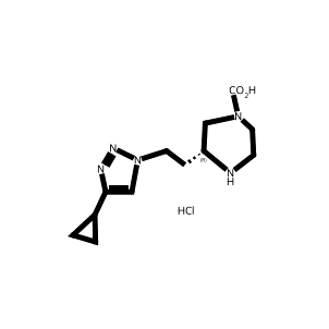 Cl.O=C(O)N1CCN[C@H](CCn2cc(C3CC3)nn2)C1